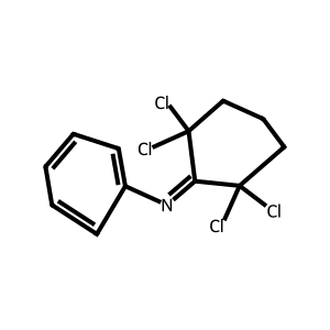 ClC1(Cl)CCCC(Cl)(Cl)C1=Nc1ccccc1